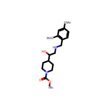 COc1ccc(CNCC(O)C2CCN(C(=O)OC(C)(C)C)CC2)c(OC)c1